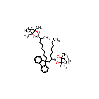 CCCCCCC(CC1(CCCCCCC(C)B2OC(C)(C)C(C)(C)O2)c2ccccc2-c2ccccc21)B1OC(C)(C)C(C)(C)O1